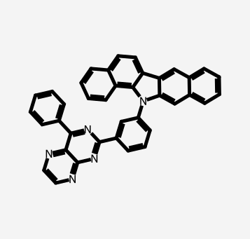 c1ccc(-c2nc(-c3cccc(-n4c5cc6ccccc6cc5c5ccc6ccccc6c54)c3)nc3nccnc23)cc1